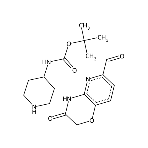 CC(C)(C)OC(=O)NC1CCNCC1.O=Cc1ccc2c(n1)NC(=O)CO2